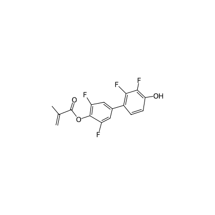 C=C(C)C(=O)Oc1c(F)cc(-c2ccc(O)c(F)c2F)cc1F